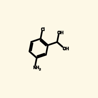 Nc1ccc(Cl)c(C(O)O)c1